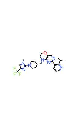 CC(C)c1ncccc1-c1ncc2c(n1)N(CC1CCN(c3nc(C(F)(F)F)cn3C)CC1)CCO2